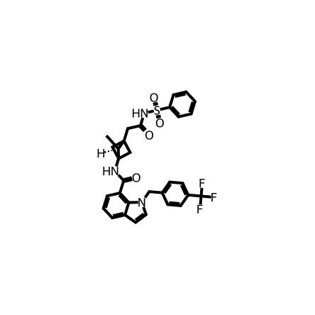 C[C@H]1C2(CC(=O)NS(=O)(=O)c3ccccc3)CC1(NC(=O)c1cccc3ccn(Cc4ccc(C(F)(F)F)cc4)c13)C2